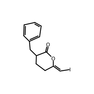 O=C1O/C(=C\I)CCC1Cc1ccccc1